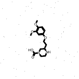 COc1ccc(OCCC2CN(C(=O)O)CCN2)cc1OC